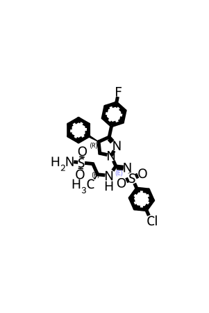 C[C@H](CS(N)(=O)=O)N/C(=N\S(=O)(=O)c1ccc(Cl)cc1)N1C[C@@H](c2ccccc2)C(c2ccc(F)cc2)=N1